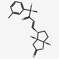 Cc1cccc([C@](C)(I)C(=O)/C=C/[C@H]2CC[C@@H]3OC(=O)C[C@@H]32)c1